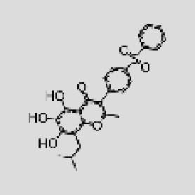 Cc1oc2c(CC(C)C)c(O)c(O)c(O)c2c(=O)c1-c1ccc(S(=O)(=O)c2ccccc2)cc1